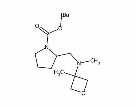 CN(CC1CCCN1C(=O)OC(C)(C)C)C1(C)COC1